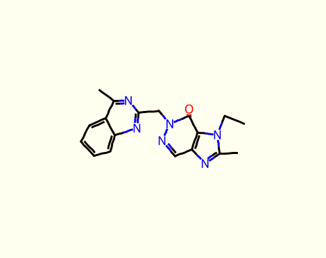 CCn1c(C)nc2cnn(Cc3nc(C)c4ccccc4n3)c(=O)c21